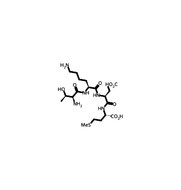 CSCC[C@H](NC(=O)[C@H](CC(=O)O)NC(=O)[C@H](CCCCN)NC(=O)[C@@H](N)[C@@H](C)O)C(=O)O